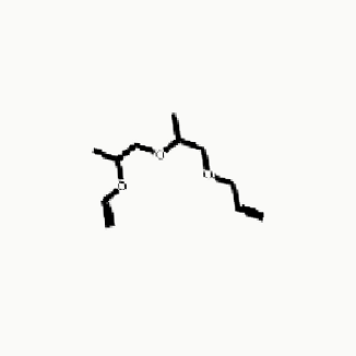 C=CCOCC(C)OCC(C)OC=C